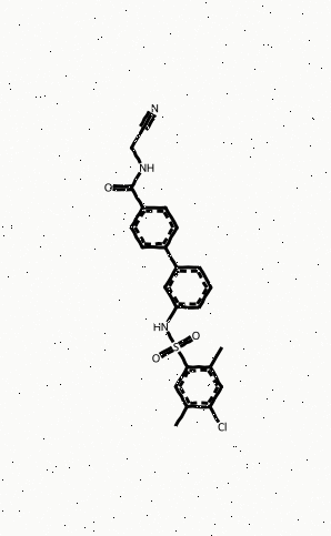 Cc1cc(S(=O)(=O)Nc2cccc(-c3ccc(C(=O)NCC#N)cc3)c2)c(C)cc1Cl